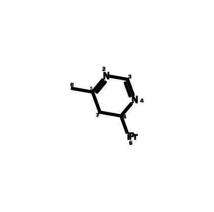 CC1=NC=NC(C(C)C)C1